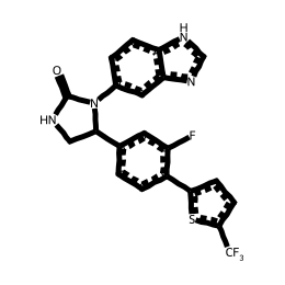 O=C1NCC(c2ccc(-c3ccc(C(F)(F)F)s3)c(F)c2)N1c1ccc2[nH]cnc2c1